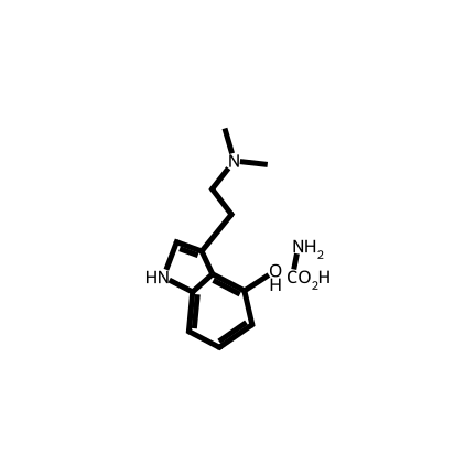 CN(C)CCc1c[nH]c2cccc(O)c12.NC(=O)O